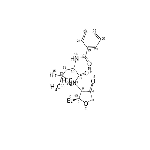 CC[C@@H]1OCC(=O)C1NC(=O)C(CC(C)(C)C(C)C)NC(=O)c1ccccc1